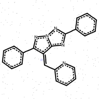 C(/c1ccccn1)=c1\c(-c2ccccc2)nn2nc(-c3ccccc3)nc12